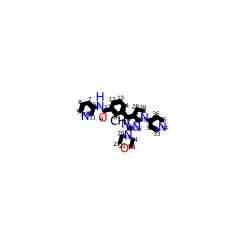 Cc1c(C(=O)Nc2cccnc2)cccc1-c1nc(N2CCOCC2)nc2c1CCN2c1ccncc1